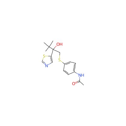 CC(=O)Nc1ccc(SCC(O)(c2cncs2)C(C)(C)C)cc1